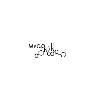 COC(=O)[C@@H]1CC(=O)CC[C@@H]1N1CC[C@H](NC(=O)OCc2ccccc2)C1=O